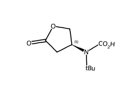 CC(C)(C)N(C(=O)O)[C@@H]1COC(=O)C1